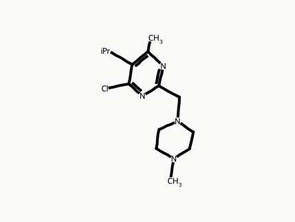 Cc1nc(CN2CCN(C)CC2)nc(Cl)c1C(C)C